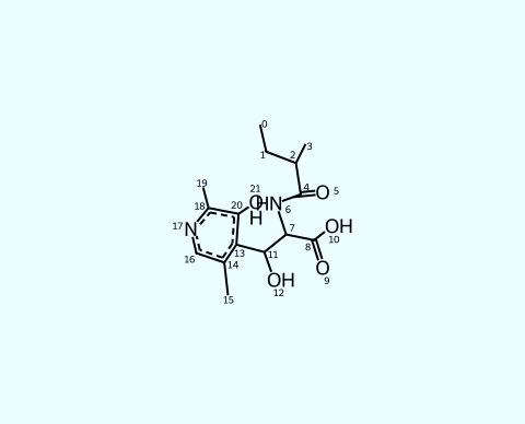 CCC(C)C(=O)NC(C(=O)O)C(O)c1c(C)cnc(C)c1O